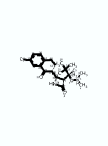 C[SiH](C)O[C@](C)([C@H]1C(=O)N[C@@H]1[C@H]1CCc2ccc(Cl)cc2C1=O)C(C)(C)C